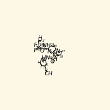 C#Cc1ccnc(NC(=O)N2c3nc(C(=O)N[C@H](C)C(F)(F)F)ccc3N3CC[C@H]2C3)c1